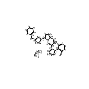 Cl.Cl.Cl.Fc1cccc(F)c1-c1n[nH]cc1-c1ccc2ncc(-c3noc(Cc4ccccc4)n3)n2c1